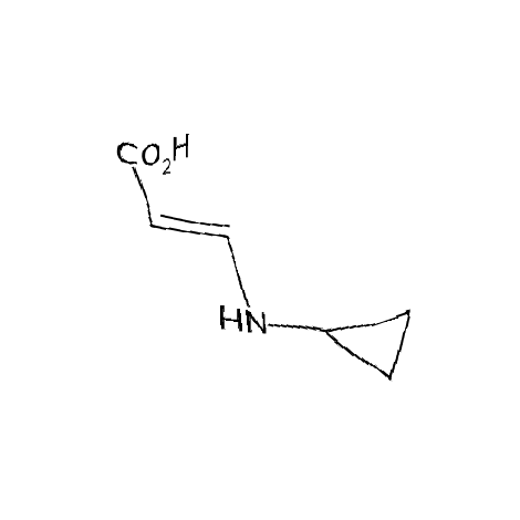 O=C(O)C=CNC1CC1